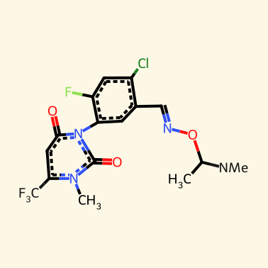 CNC(C)O/N=C/c1cc(-n2c(=O)cc(C(F)(F)F)n(C)c2=O)c(F)cc1Cl